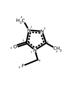 Cc1nn(C)c(=O)n1CF